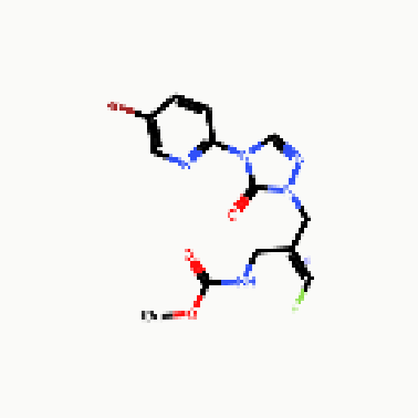 CC(C)(C)OC(=O)NC/C(=C\F)Cn1ncn(-c2ccc(Br)cn2)c1=O